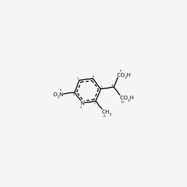 Cc1nc([N+](=O)[O-])ccc1C(C(=O)O)C(=O)O